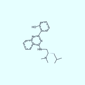 CC(C)C[C@@H](CNc1nc(-c2ccccc2O)nc2ccccc12)N(C)C